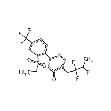 CCS(=O)(=O)c1cc(C(F)(F)F)ccc1-c1cc(=O)n(CC(F)(F)C(C)F)cn1